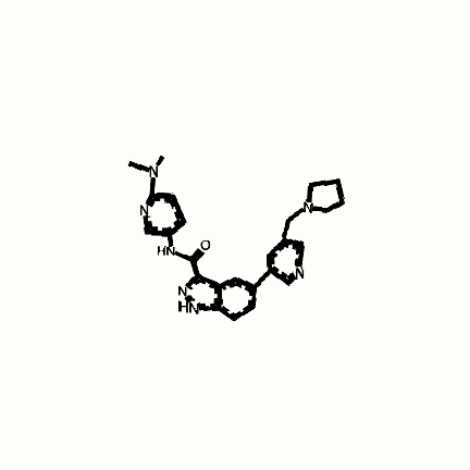 CN(C)c1ccc(NC(=O)c2n[nH]c3ccc(-c4cncc(CN5CCCC5)c4)cc23)cn1